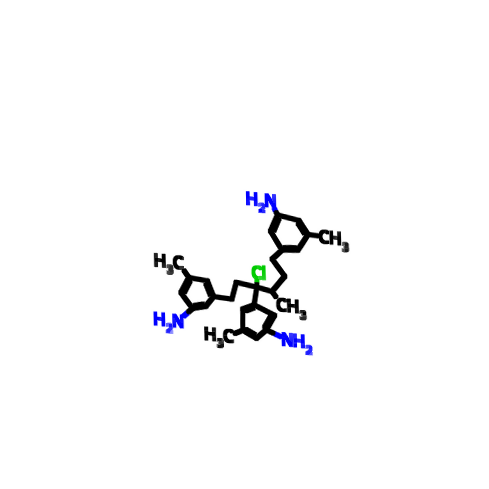 Cc1cc(N)cc(CCC(C)C(Cl)(CCc2cc(C)cc(N)c2)c2cc(C)cc(N)c2)c1